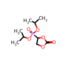 CC(C)OP(=O)(OC(C)C)C1COC(=O)O1